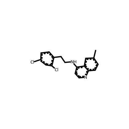 Cc1ccc2nccc(NCCc3ccc(Cl)cc3Cl)c2c1